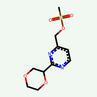 CS(=O)(=O)OCc1ccnc(C2COCCO2)n1